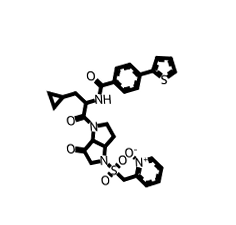 O=C(NC(CC1CC1)C(=O)N1CCC2C1C(=O)CN2S(=O)(=O)Cc1cccc[n+]1[O-])c1ccc(-c2cccs2)cc1